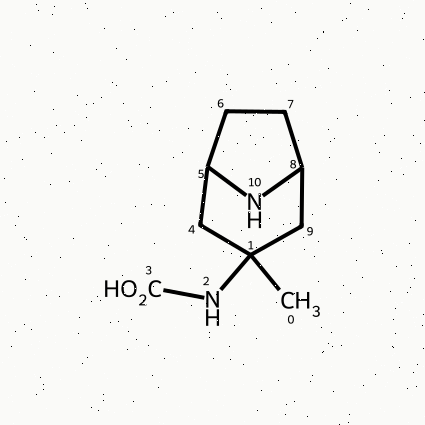 CC1(NC(=O)O)CC2CCC(C1)N2